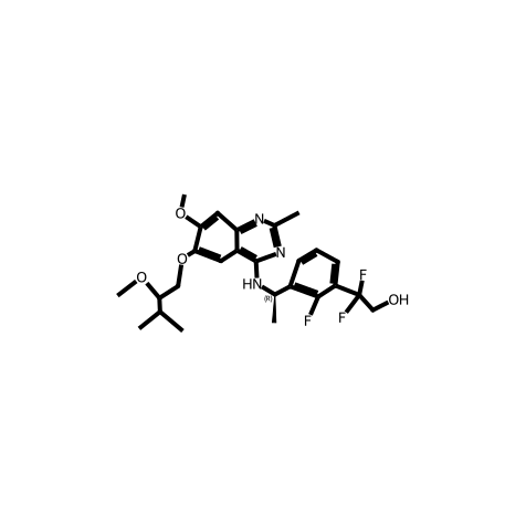 COc1cc2nc(C)nc(N[C@H](C)c3cccc(C(F)(F)CO)c3F)c2cc1OCC(OC)C(C)C